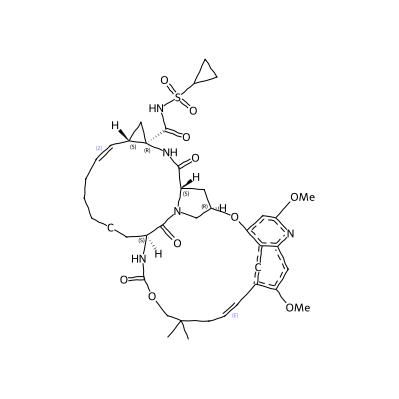 COc1cc2c3cc(c(OC)cc3n1)/C=C/CC(C)(C)COC(=O)N[C@H]1CCCCC/C=C\[C@@H]3C[C@@]3(C(=O)NS(=O)(=O)C3CC3)NC(=O)[C@@H]3C[C@H](CN3C1=O)O2